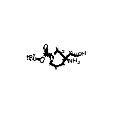 CC(C)(C)OC(=O)N1CCCC(N)(CCO)CC1